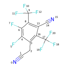 N#CCc1c(F)c(F)c(C(F)(F)F)c(C#N)c1C(F)(F)F